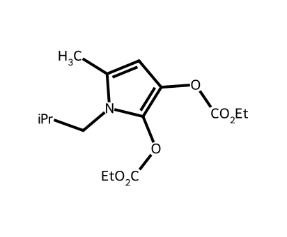 CCOC(=O)Oc1cc(C)n(CC(C)C)c1OC(=O)OCC